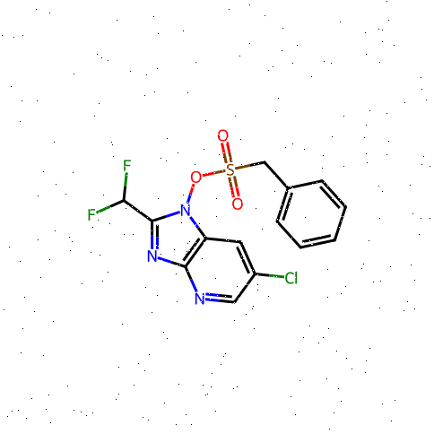 O=S(=O)(Cc1ccccc1)On1c(C(F)F)nc2ncc(Cl)cc21